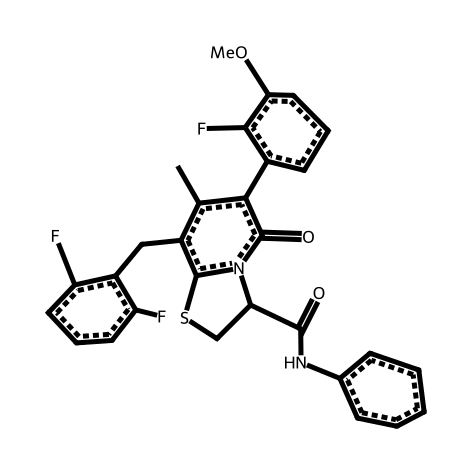 COc1cccc(-c2c(C)c(Cc3c(F)cccc3F)c3n(c2=O)C(C(=O)Nc2ccccc2)CS3)c1F